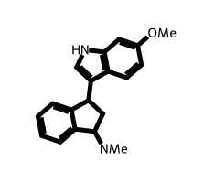 CNC1CC(c2c[nH]c3cc(OC)ccc23)c2ccccc21